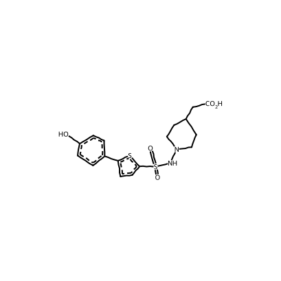 O=C(O)CC1CCN(NS(=O)(=O)c2ccc(-c3ccc(O)cc3)s2)CC1